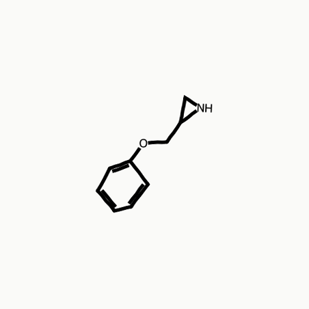 c1ccc(OCC2CN2)cc1